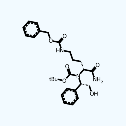 CC(C)(C)OC(=O)N([C@H](CCCNC(=O)OCc1ccccc1)C(N)=O)[C@H](CO)c1ccccc1